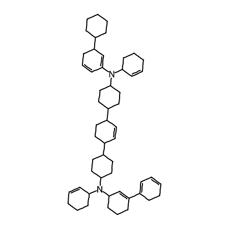 C1=CCCC(C2=CC(N(C3C=CCCC3)C3CCC(C4C=CC(C5CCC(N(C6=CC(C7CCCCC7)CC=C6)C6C=CCCC6)CC5)CC4)CC3)CCC2)=C1